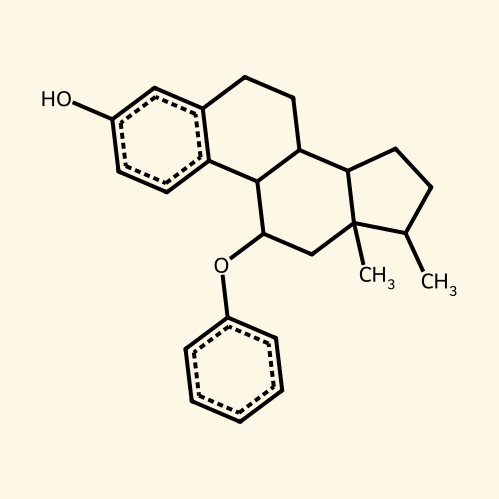 CC1CCC2C3CCc4cc(O)ccc4C3C(Oc3ccccc3)CC12C